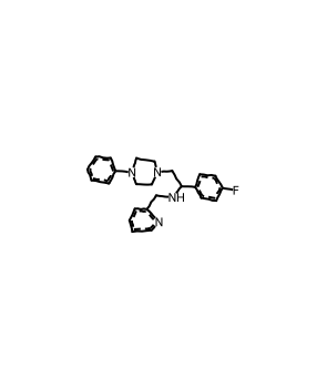 Fc1ccc(C(CN2CCN(c3ccccc3)CC2)NCc2ccccn2)cc1